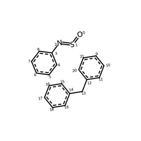 O=S=Nc1ccccc1.c1ccc(Cc2ccccc2)cc1